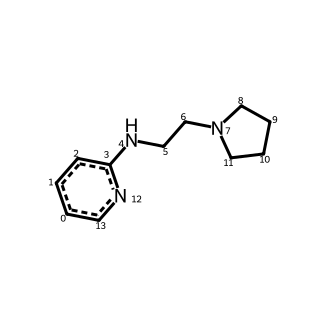 c1ccc(NCCN2CCCC2)nc1